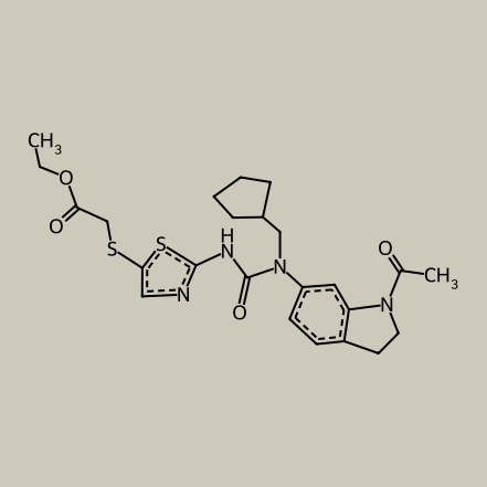 CCOC(=O)CSc1cnc(NC(=O)N(CC2CCCC2)c2ccc3c(c2)N(C(C)=O)CC3)s1